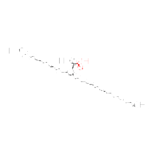 CCCCCCCCCCCCCCCCCCCCC(CC=C(C)C(=O)O)CCCCCCCCCCCCCCCC